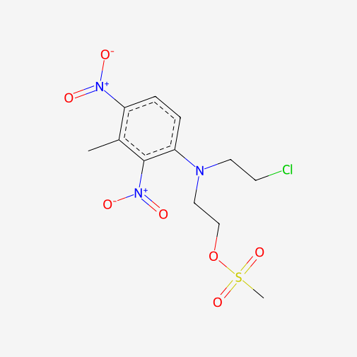 Cc1c([N+](=O)[O-])ccc(N(CCCl)CCOS(C)(=O)=O)c1[N+](=O)[O-]